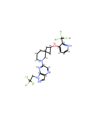 FC(F)(F)Cn1ncc2ncc(N3CCCC4(CC(Oc5cccnc5C(F)(F)F)C4)C3)nc21